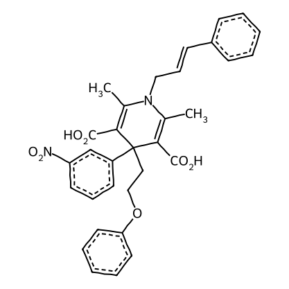 CC1=C(C(=O)O)C(CCOc2ccccc2)(c2cccc([N+](=O)[O-])c2)C(C(=O)O)=C(C)N1CC=Cc1ccccc1